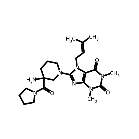 CC(C)=CCn1c(N2CCCC(N)(C(=O)N3CCCC3)C2)nc2c1c(=O)n(C)c(=O)n2C